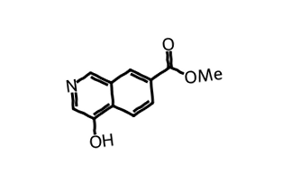 COC(=O)c1ccc2c(O)cncc2c1